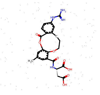 Cc1cc2c(c(C(=O)N[C@@H](CC(=O)O)C(=O)O)c1)OCCCc1cc(NC(=N)N)ccc1C(=O)O2